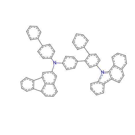 c1ccc(-c2ccc(N(c3ccc(-c4cc(-n5c6ccccc6c6ccc7ccccc7c65)ccc4-c4ccccc4)cc3)c3cc4c5c(cccc5c3)-c3ccccc3-4)cc2)cc1